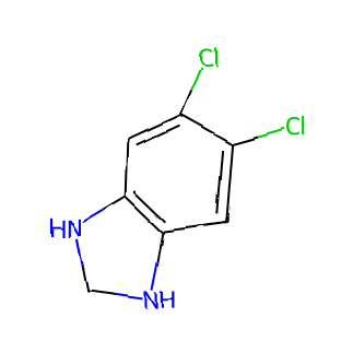 Clc1cc2c(cc1Cl)NCN2